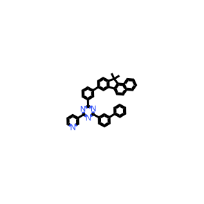 CC1(C)c2ccc(-c3cccc(-c4nc(-c5cccnc5)nc(-c5cccc(-c6ccccc6)c5)n4)c3)cc2-c2ccc3ccccc3c21